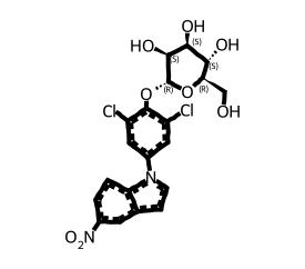 O=[N+]([O-])c1ccc2c(ccn2-c2cc(Cl)c(O[C@H]3O[C@H](CO)[C@@H](O)[C@H](O)[C@@H]3O)c(Cl)c2)c1